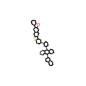 C1=c2c(-c3cccc(-c4ccc5sc6cc7cc8c(cc7cc6c5c4)oc4ccccc48)c3)c3ccccc3c(-c3ccc4ccccc4c3)c2=CCC1